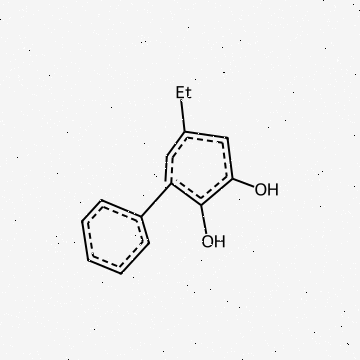 CCc1cc(O)c(O)c(-c2ccccc2)c1